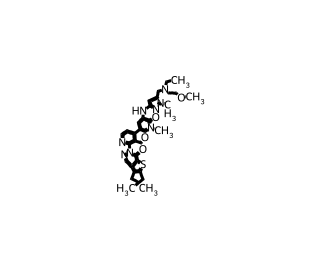 CCN(CCOC)Cc1cc(Nc2cc(-c3ccnc(-n4ncc5c6c(sc5c4=O)CC(C)(C)C6)c3C=O)cn(C)c2=O)nn1C